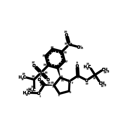 COC(=O)[C@H]1CCN(C(=O)OC(C)(C)C)[C@H]1c1cc([N+](=O)[O-])ccc1S(=O)(=O)C(C)C